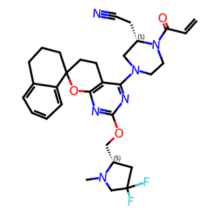 C=CC(=O)N1CCN(c2nc(OC[C@@H]3CC(F)(F)CN3C)nc3c2CCC2(CCCc4ccccc42)O3)C[C@@H]1CC#N